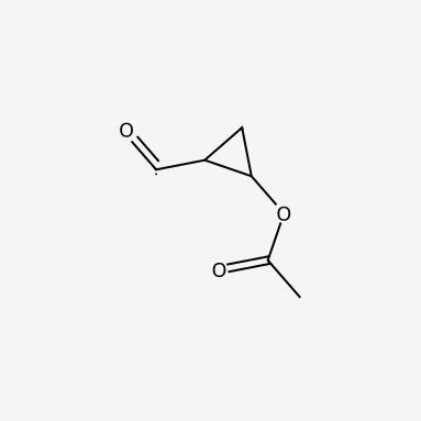 CC(=O)OC1CC1[C]=O